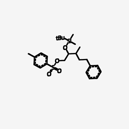 Cc1ccc(S(=O)(=O)OCC(O[Si](C)(C)C(C)(C)C)C(C)CCc2ccccc2)cc1